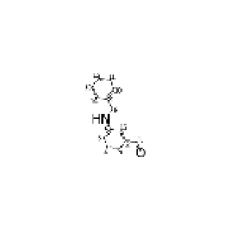 O=[C]c1cccc(NCc2ccccc2)c1